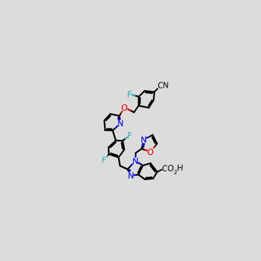 N#Cc1ccc(COc2cccc(-c3cc(F)c(Cc4nc5ccc(C(=O)O)cc5n4Cc4ncco4)cc3F)n2)c(F)c1